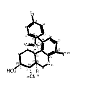 N#C[C@@H]1[C@@H](O)CC[C@@]2(S(=O)(=O)c3ccc(Cl)cc3)c3c(F)ccc(F)c3OC[C@@H]12